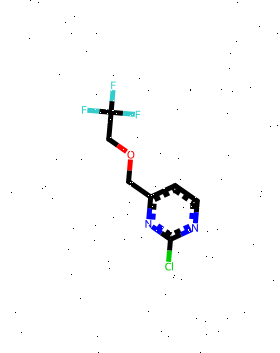 FC(F)(F)COCc1ccnc(Cl)n1